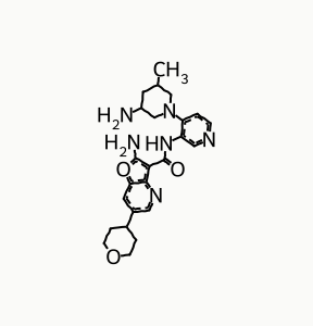 CC1CC(N)CN(c2ccncc2NC(=O)c2c(N)oc3cc(C4CCOCC4)cnc23)C1